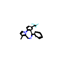 Cc1ccn2c1CN=C(c1ccccc1)c1cc(C(F)(F)F)ccc1-2